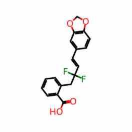 O=C(O)c1ccccc1CC(F)(F)/C=C/c1ccc2c(c1)OCO2